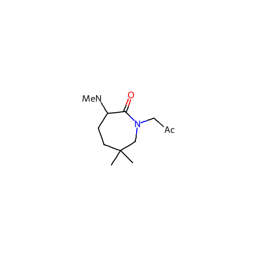 CNC1CCC(C)(C)CN(CC(C)=O)C1=O